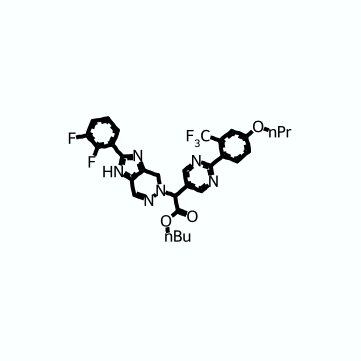 CCCCOC(=O)C(c1cnc(-c2ccc(OCCC)cc2C(F)(F)F)nc1)N1Cc2nc(-c3cccc(F)c3F)[nH]c2C=N1